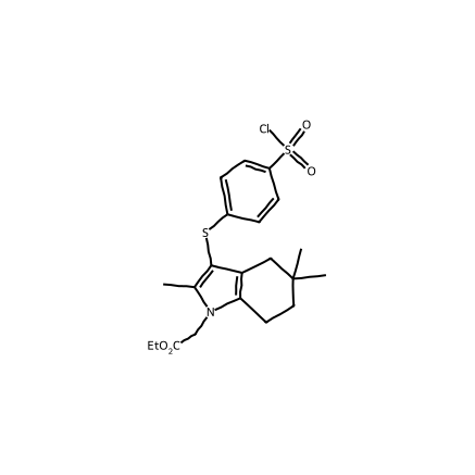 CCOC(=O)Cn1c(C)c(Sc2ccc(S(=O)(=O)Cl)cc2)c2c1CCC(C)(C)C2